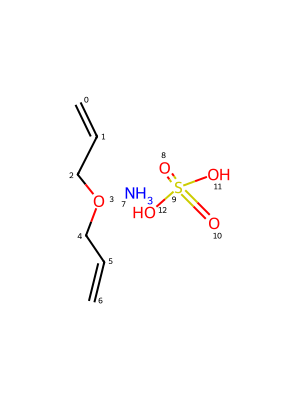 C=CCOCC=C.N.O=S(=O)(O)O